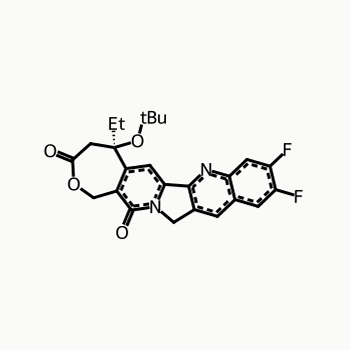 CC[C@@]1(OC(C)(C)C)CC(=O)OCc2c1cc1n(c2=O)Cc2cc3cc(F)c(F)cc3nc2-1